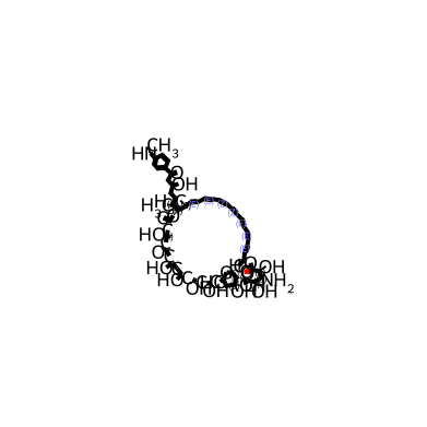 CNc1ccc(C(=O)CC(O)CC[C@H](C)[C@H]2OC(=O)C[C@H](O)CC(=O)CC(O)CC(O)CC(O)CC(O)CC3(O)C[C@H](O)[C@@H](C(=O)O)[C@H](CC(OC4OC[C@@H](O)[C@H](N)[C@@H]4O)/C=C/C=C/C=C/C=C\C=C/C=C/C=C/[C@@H]2C)O3)cc1